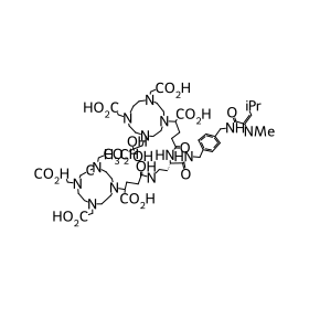 CN/C(=C/C(C)C)C(=O)NCc1ccc(CNC(=O)[C@H](CCNC(=O)CCC(C(=O)O)N2CCN(CC(=O)O)CCN(CC(=O)O)CCN(CC(=O)O)CC2)NC(=O)CCC(C(=O)O)N2CCN(CC(=O)O)CCN(CC(=O)O)CCN(CC(C)(O)O)CC2)cc1